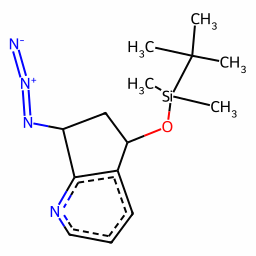 CC(C)(C)[Si](C)(C)OC1CC(N=[N+]=[N-])c2ncccc21